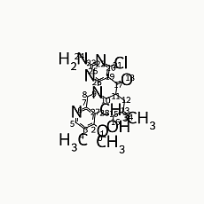 COc1c(C)cnc(CN2CC(CC(C)CO)C(=O)c3c(Cl)nc(N)nc32)c1C